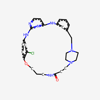 O=C1CCN2CCN(CC2)Cc2cccc(c2)Nc2ccnc(n2)Nc2ccc(c(Cl)c2)OCCCN1